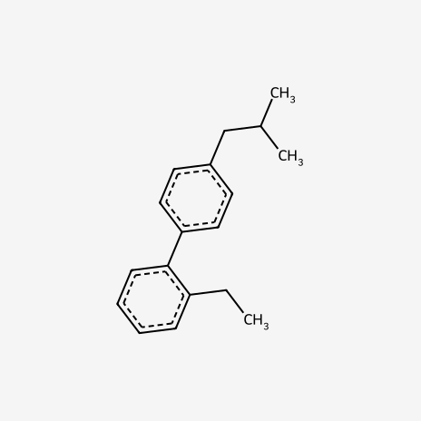 CCc1ccccc1-c1ccc(CC(C)C)cc1